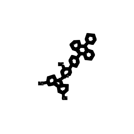 N#Cc1ccc2c(c1)c1cc(C#N)ccc1n2-c1ccc(-c2ccc(-c3c4ccccc4c(-c4ccccc4)c4ccccc34)cc2)c(C#N)c1